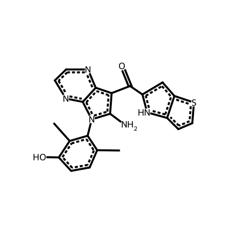 Cc1ccc(O)c(C)c1-n1c(N)c(C(=O)c2cc3sccc3[nH]2)c2nccnc21